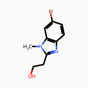 Cn1c(CCO)nc2ccc(Br)cc21